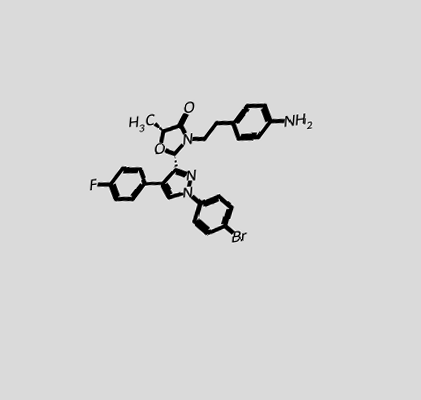 C[C@@H]1O[C@@H](c2nn(-c3ccc(Br)cc3)cc2-c2ccc(F)cc2)N(CCc2ccc(N)cc2)C1=O